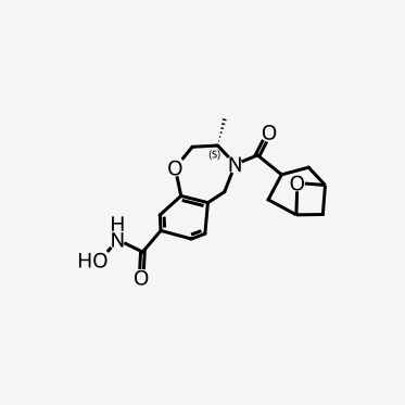 C[C@H]1COc2cc(C(=O)NO)ccc2CN1C(=O)C1CC2CC(C1)O2